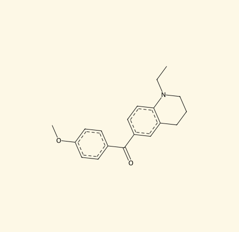 CCN1CCCc2cc(C(=O)c3ccc(OC)cc3)ccc21